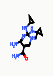 CC1(NC2(NC3CC3)N=C(N)C(C(N)=O)=CN2)CC1